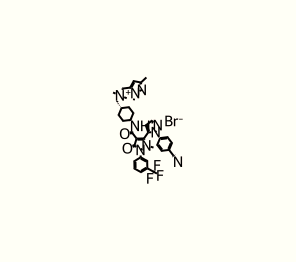 Cc1cc(C[N+](C)(C)C[C@H]2CC[C@H](NC(=O)c3c(-c4ccnn4-c4ccc(C#N)cc4)n(C)n(-c4cccc(C(F)(F)F)c4)c3=O)CC2)n(C)n1.[Br-]